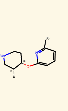 CC(C)c1cccc(O[C@H]2CCNC[C@H]2C)n1